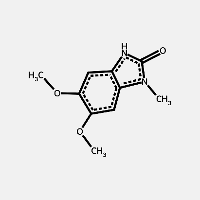 COc1cc2[nH]c(=O)n(C)c2cc1OC